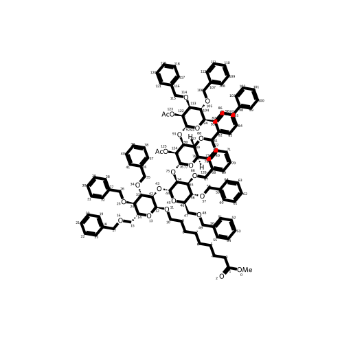 COC(=O)CCCCCCCCO[C@H]1O[C@H](COCc2ccccc2)[C@@H](OCc2ccccc2)[C@H](OCc2ccccc2)[C@@H]1O[C@H]1O[C@H](COCc2ccccc2)[C@@H](OCc2ccccc2)[C@H](OCc2ccccc2)[C@@H]1O[C@H]1O[C@@H]2COC(c3ccccc3)O[C@H]2[C@H](O[C@H]2O[C@H](COCc3ccccc3)[C@@H](OCc3ccccc3)[C@H](OCc3ccccc3)[C@@H]2OC(C)=O)[C@@H]1OC(C)=O